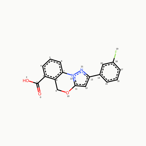 O=C(O)c1cccc2c1COc1cc(-c3cccc(F)c3)nn1-2